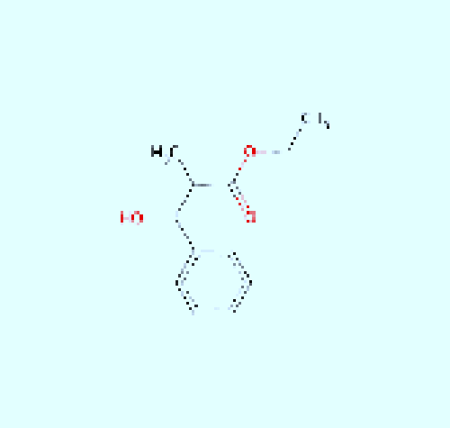 CCOC(=O)C(C)C(O)c1ccccc1